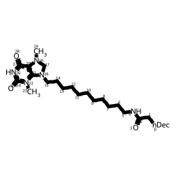 CCCCCCCCCCCC(=O)NCCCCCCCCCCCN1CN(C)c2c1n(C)c(=O)[nH]c2=O